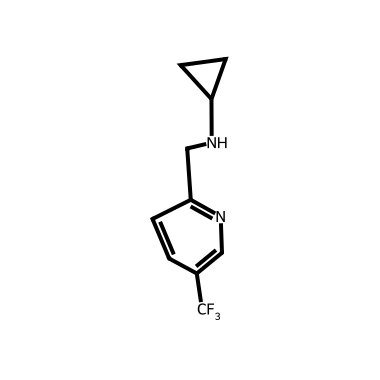 FC(F)(F)c1ccc(CNC2CC2)nc1